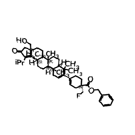 CC(C)C1=C2[C@H]3CC[C@@H]4[C@@]5(C)CC=C(C6=CC[C@](CF)(C(=O)OCc7ccccc7)CC6)C(C)(C)[C@@H]5CC[C@@]4(C)[C@]3(C)CC[C@@]2(CO)CC1=O